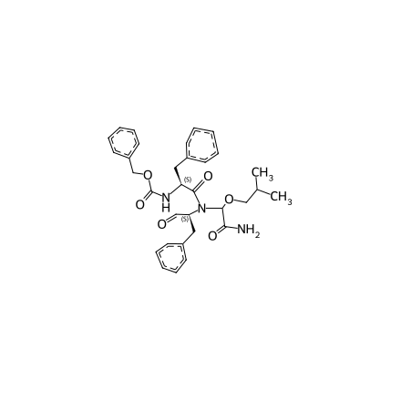 CC(C)COC(C(N)=O)N(C(=O)[C@H](Cc1ccccc1)NC(=O)OCc1ccccc1)[C@H](C=O)Cc1ccccc1